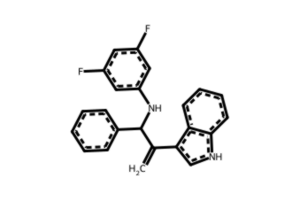 C=C(c1c[nH]c2ccccc12)C(Nc1cc(F)cc(F)c1)c1ccccc1